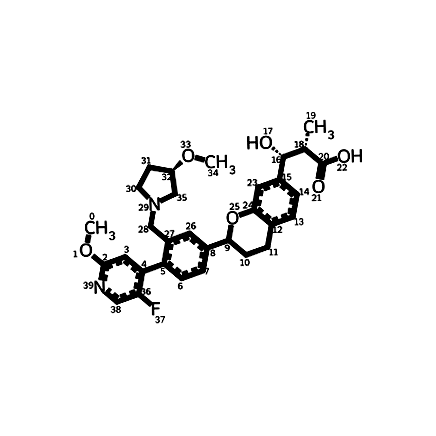 COc1cc(-c2ccc(C3CCc4ccc([C@H](O)[C@H](C)C(=O)O)cc4O3)cc2CN2CC[C@@H](OC)C2)c(F)cn1